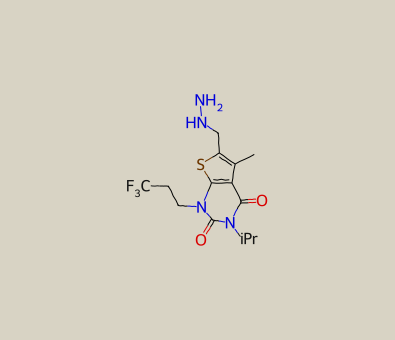 Cc1c(CNN)sc2c1c(=O)n(C(C)C)c(=O)n2CCC(F)(F)F